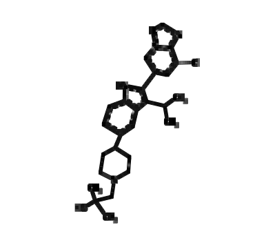 CC(C)c1c(-c2cc(Cl)c3ncnn3c2)[nH]c2ccc(C3CCN(CC(C)(C)O)CC3)cc12